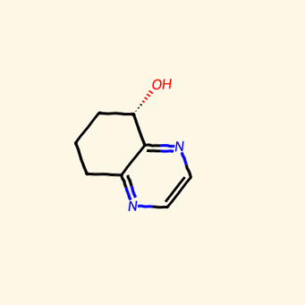 O[C@H]1CCCc2nccnc21